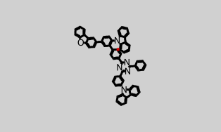 c1ccc(-c2nc(-c3ccc(-c4cc(-c5ccc6oc7ccccc7c6c5)ccc4-n4c5ccccc5c5ccccc54)cc3)nc(-c3cccc(-n4c5ccccc5c5ccccc54)c3)n2)cc1